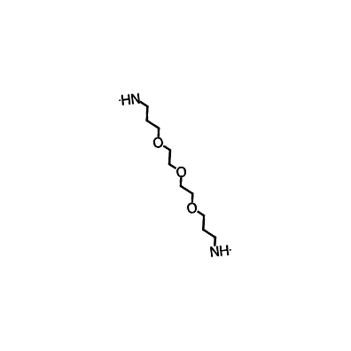 [NH]CCCOCCOCCOCCC[NH]